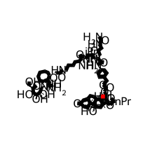 CCCC1O[C@@H]2C[C@H]3[C@@H]4CCC5=CC(=O)C=C[C@]5(C)[C@H]4[C@@H](O)C[C@]3(C)[C@]2(C(=O)COC(=O)OCc2ccc(NC(=O)[C@H](CCCNC(N)=O)NC(=O)[C@@H](NC(=O)[C@H](N)CCCCNC(=O)COC3CCCCC/C(N[C@@H]4O[C@H](CO)[C@H](O)[C@H](O)[C@H]4O)=C\3NN)C(C)C)cc2)O1